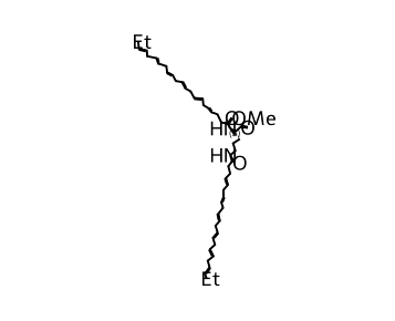 CCC=CCC=CCC=CCC=CCC=CCC=CCCC(=O)NCCC[C@H](NC(=O)CCC=CCC=CCC=CCC=CCC=CCC=CCC)C(=O)OC